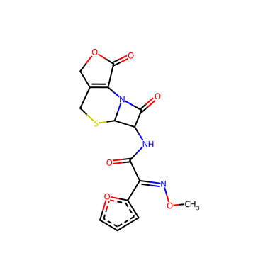 CON=C(C(=O)NC1C(=O)N2C3=C(COC3=O)CSC12)c1ccco1